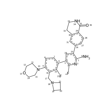 Nc1nc(F)c(-c2ccc(N3CCOCC3)c(CN3CCC3)c2F)cc1-c1ccc2c(c1)CCNC2=O